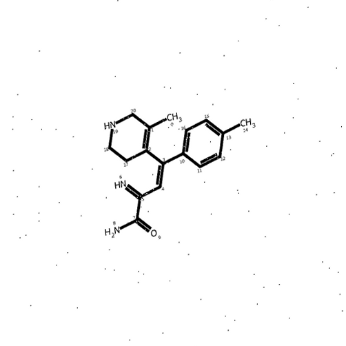 CC1=C(/C(=C\C(=N)C(N)=O)c2ccc(C)cc2)CCNC1